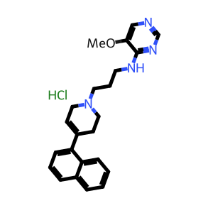 COc1cncnc1NCCCN1CC=C(c2cccc3ccccc23)CC1.Cl